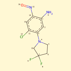 Nc1cc(N2CCC(F)(F)C2)c(Cl)cc1N=O